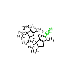 CC1=C(C)C(C)(C)C(C)C1.CC1=C(C)C(C)(C)C(C)C1.[Cl-].[Cl-].[Cl-].[Cl-].[Ti+4]